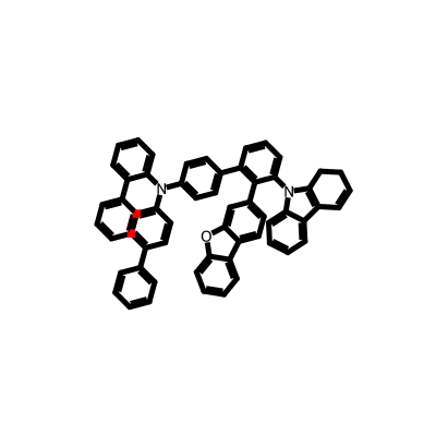 C1=Cc2c(n(-c3cccc(-c4ccc(N(c5ccc(-c6ccccc6)cc5)c5ccccc5-c5ccccc5)cc4)c3-c3ccc4c(c3)oc3ccccc34)c3ccccc23)CC1